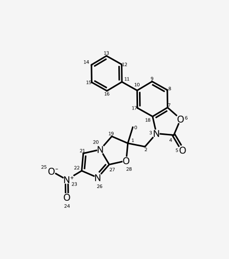 CC1(Cn2c(=O)oc3ccc(-c4ccccc4)cc32)Cn2cc([N+](=O)[O-])nc2O1